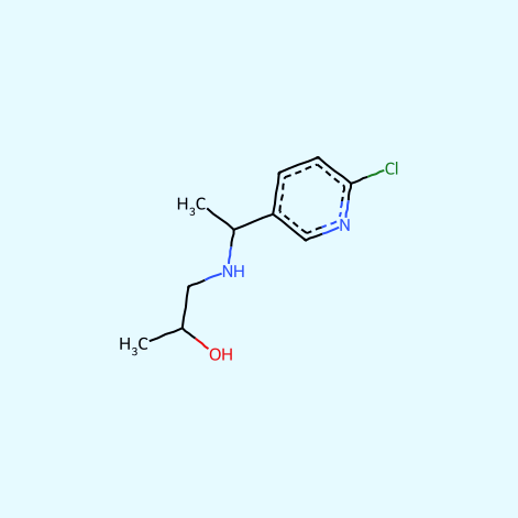 CC(O)CNC(C)c1ccc(Cl)nc1